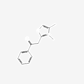 Cc1csc(CC(=O)c2ccccc2)[n+]1C